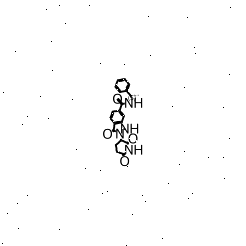 C[C@H](NC(=O)c1ccc2c(=O)n(C3CCC(=O)NC3=O)[nH]c2c1)c1ccccc1